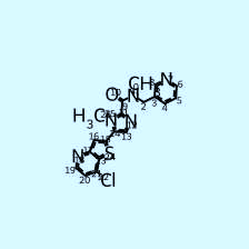 CN(Cc1cccnc1)C(=O)c1ncc(-c2cc3nccc(Cl)c3s2)n1C